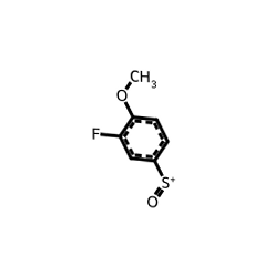 COc1ccc([S+]=O)cc1F